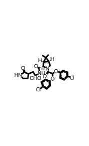 CC1(C)[C@@H]2[C@@H](C(=O)NC(C=O)CC3CCNC3=O)N(C(=O)C(Oc3ccc(Cl)cc3)Oc3ccc(Cl)cc3)C[C@@H]21